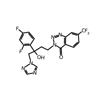 O=c1c2ccc(C(F)(F)F)cc2nnn1CCC(O)(Cn1cncn1)c1ccc(F)cc1F